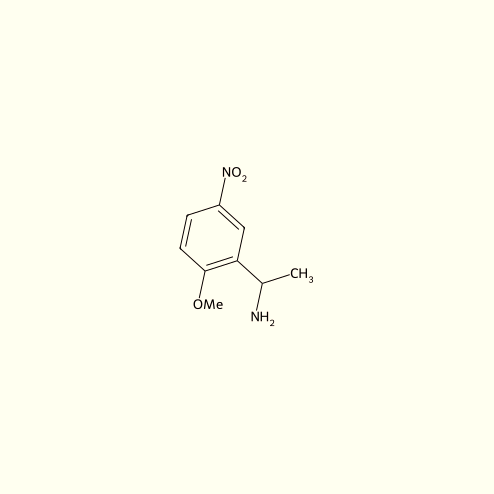 COc1ccc([N+](=O)[O-])cc1C(C)N